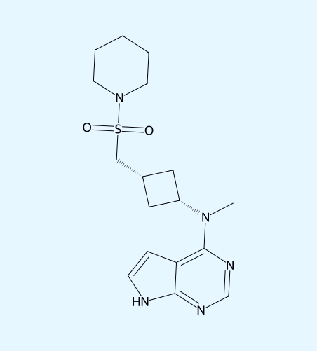 CN(c1ncnc2[nH]ccc12)[C@H]1C[C@@H](CS(=O)(=O)N2CCCCC2)C1